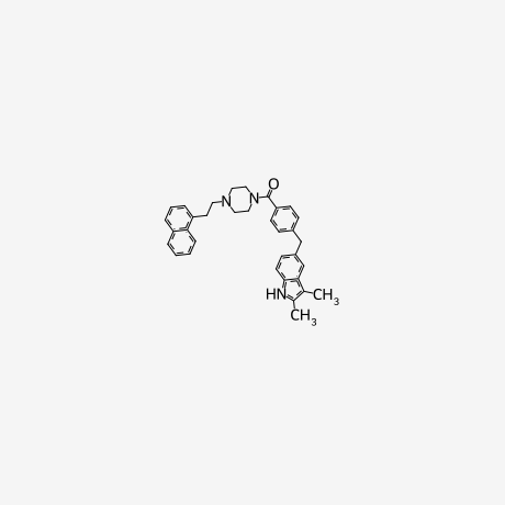 Cc1[nH]c2ccc(Cc3ccc(C(=O)N4CCN(CCc5cccc6ccccc56)CC4)cc3)cc2c1C